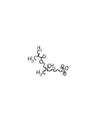 C=C(C)C(=O)OCC[N+](C)(C)CCCCCS(=O)(=O)[O-]